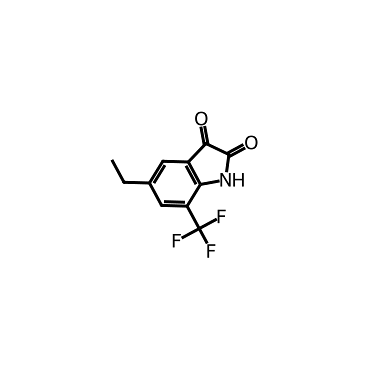 CCc1cc2c(c(C(F)(F)F)c1)NC(=O)C2=O